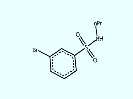 [CH2]CCNS(=O)(=O)c1cccc(Br)c1